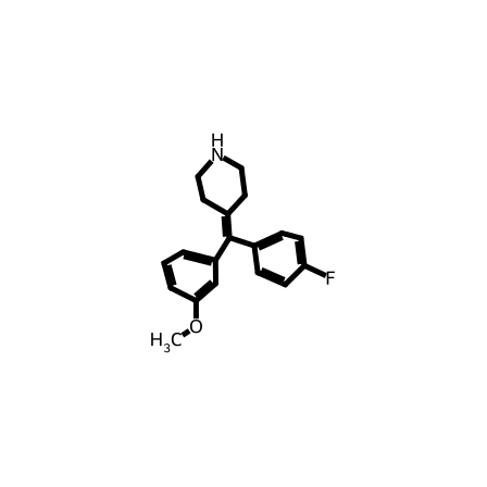 COc1cccc(C(=C2CCNCC2)c2ccc(F)cc2)c1